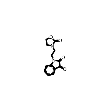 O=C1C(=O)N(CCN2CCOC2=O)c2ccccc21